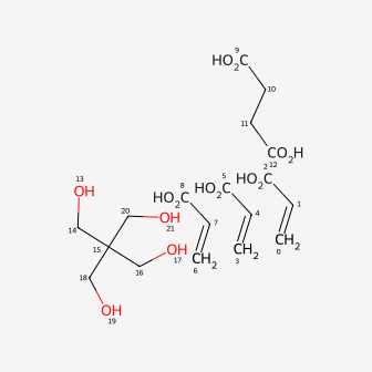 C=CC(=O)O.C=CC(=O)O.C=CC(=O)O.O=C(O)CCC(=O)O.OCC(CO)(CO)CO